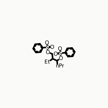 CCCC(OS(=O)(=O)c1ccccc1)C(CC)COS(=O)(=O)c1ccccc1